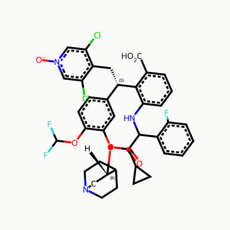 O=C(O)c1cccc(NC(C(=O)O[C@H]2CN3CCC2CC3)c2ccccc2F)c1[C@@H](Cc1c(Cl)c[n+]([O-])cc1Cl)c1ccc(OC(F)F)c(OCC2CC2)c1